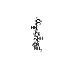 Nc1nc(CC(=O)Nc2ccc(CCNC[CH]c3ccccc3)cc2)cs1